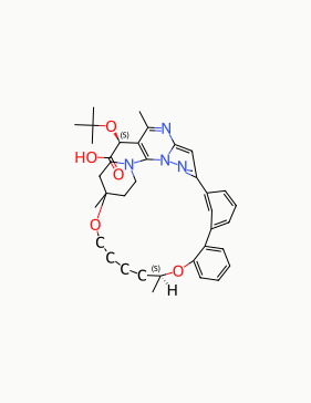 Cc1nc2cc3nn2c(c1[C@H](OC(C)(C)C)C(=O)O)N1CCC(C)(CC1)OCCCC[C@H](C)Oc1ccccc1-c1cccc-3c1